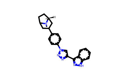 CN1C2CC[C@@H]1CC(c1ccc(-n3cc(-c4n[nH]c5ccccc45)nn3)cc1)C2